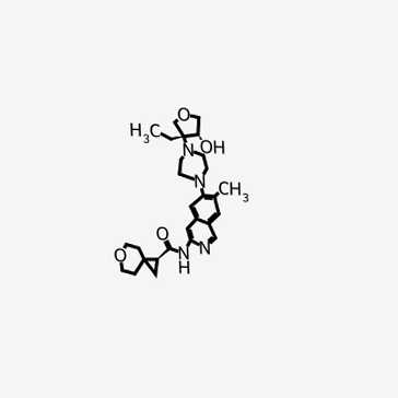 CC[C@@]1(N2CCN(c3cc4cc(NC(=O)[C@H]5CC56CCOCC6)ncc4cc3C)CC2)COC[C@@H]1O